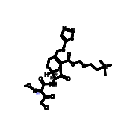 CO/N=C(/C(=O)CCl)C(=O)N[C@@H]1C(=O)N2C(C(=O)OCOCC[Si](C)(C)C)=C(CSc3cnns3)CS[C@@H]12